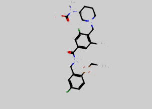 CCS(=O)(=O)c1ccc(Cl)cc1CNC(=O)c1cc(C)c(CN2CCC[C@H](N(C)C(=O)O)C2)c(Cl)c1